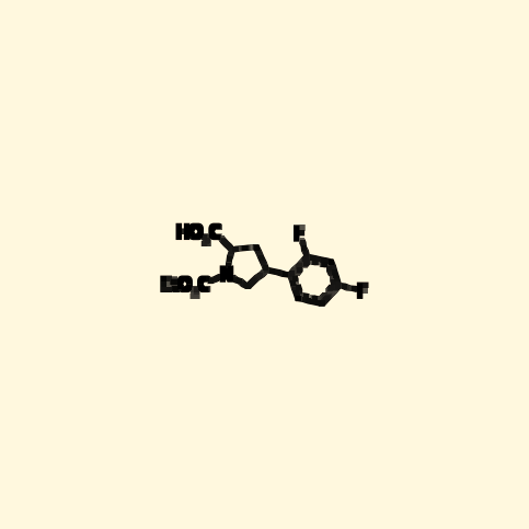 CCOC(=O)N1CC(c2ccc(F)cc2F)CC1C(=O)O